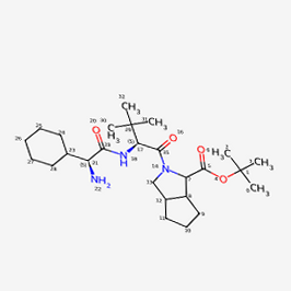 CC(C)(C)OC(=O)C1C2CCCC2CN1C(=O)[C@@H](NC(=O)[C@@H](N)C1CCCCC1)C(C)(C)C